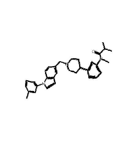 Cc1cccc(-n2ccc3cc(CN4CCC(c5cccc(N(C)C(=O)C(C)C)c5)CC4)ccc32)c1